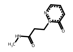 CNC(=O)CCn1ncccc1=O